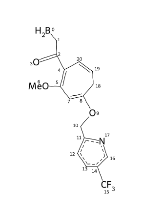 BCC(=O)C1=C(OC)C=C(OCc2ccc(C(F)(F)F)cn2)CC=C1